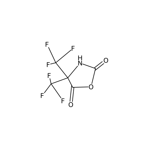 O=C1NC(C(F)(F)F)(C(F)(F)F)C(=O)O1